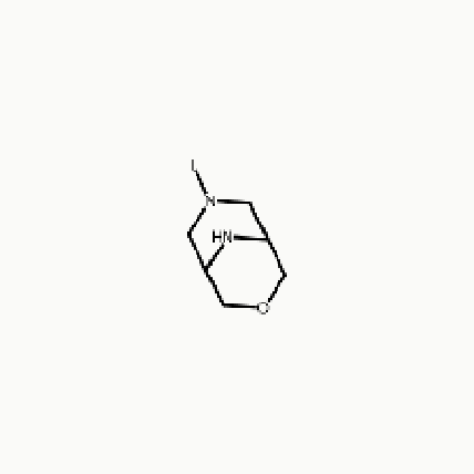 IN1CC2COCC(C1)N2